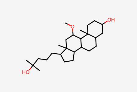 COC1CC2(C)C(CCCC(C)(C)O)CCC2C2CCC3CC(O)CCC3(C)C12